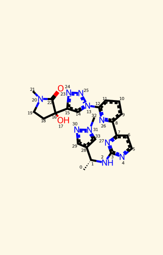 C[C@@H](Nc1nccc(-c2cccc(-n3cc(C4(O)CCN(C)C4=O)nn3)n2)n1)c1cnn(C)c1